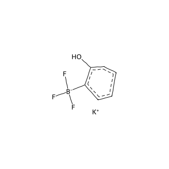 Oc1ccccc1[B-](F)(F)F.[K+]